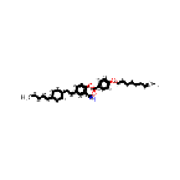 C=CCCCCCCOc1ccc(C(=O)Oc2ccc(CCC3CCC(CCCCC)CC3)cc2C#N)cc1